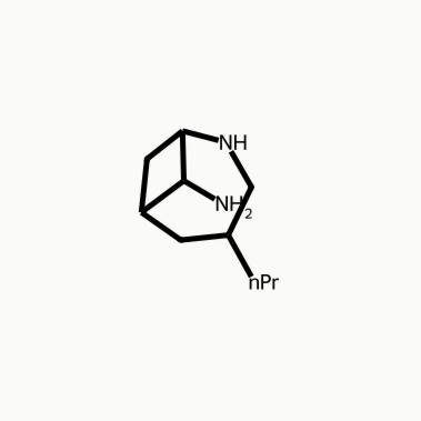 CCCC1CNC2CC(C1)C2N